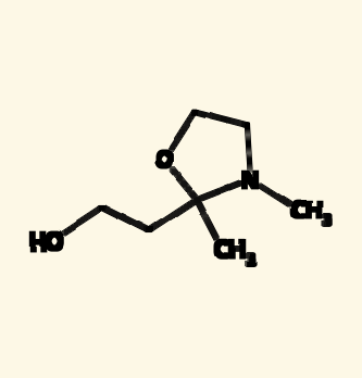 CN1CCOC1(C)CCO